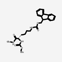 CC(C)(C)NC(=O)[C@H](CCCCNC(=O)OCC1c2ccccc2-c2ccccc21)NC(=O)OC(C)(C)C